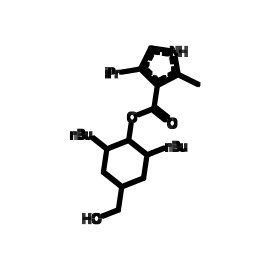 CCCCC1CC(CO)CC(CCCC)C1OC(=O)c1c(C(C)C)c[nH]c1C